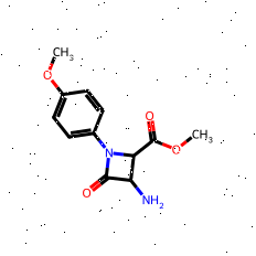 COC(=O)C1C(N)C(=O)N1c1ccc(OC)cc1